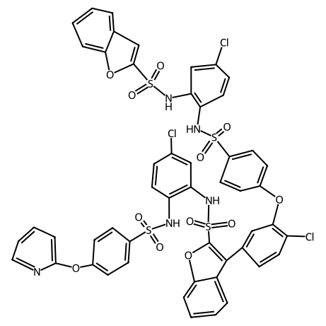 O=S(=O)(Nc1ccc(Cl)cc1NS(=O)(=O)c1cc2ccccc2o1)c1ccc(Oc2cc(-c3c(S(=O)(=O)Nc4cc(Cl)ccc4NS(=O)(=O)c4ccc(Oc5ccccn5)cc4)oc4ccccc34)ccc2Cl)cc1